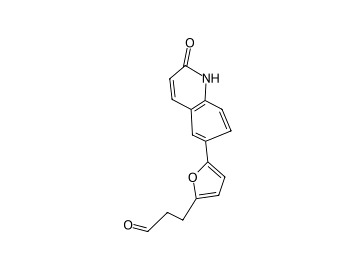 O=CCCc1ccc(-c2ccc3[nH]c(=O)ccc3c2)o1